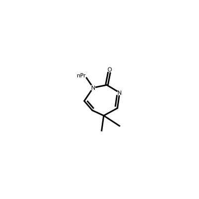 CCCN1C=CC(C)(C)C=NC1=O